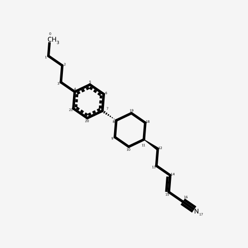 CCCCc1ccc([C@H]2CC[C@H](CC/C=C/C#N)CC2)cc1